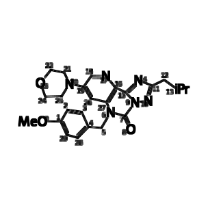 COc1ccc(Cn2c(=O)n3nc(CC(C)C)nc3c3ncc(N4CCOCC4)cc32)cc1